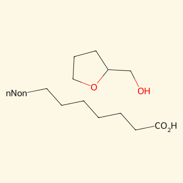 CCCCCCCCCCCCCCCC(=O)O.OCC1CCCO1